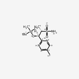 C[C@@H]([C@H](O[Si](C)(C)C(C)(C)C)c1ncc(I)cn1)S(N)(=O)=O